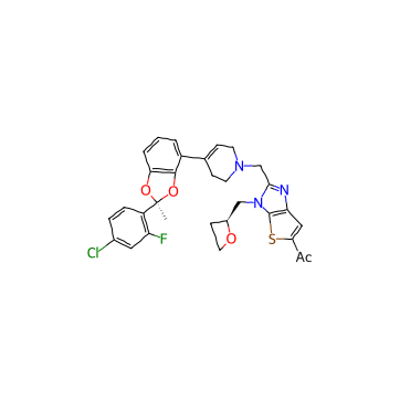 CC(=O)c1cc2nc(CN3CC=C(c4cccc5c4O[C@@](C)(c4ccc(Cl)cc4F)O5)CC3)n(C[C@@H]3CCO3)c2s1